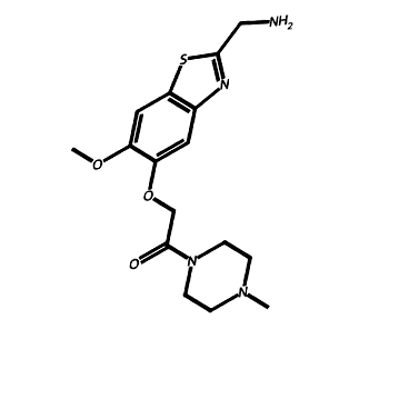 COc1cc2sc(CN)nc2cc1OCC(=O)N1CCN(C)CC1